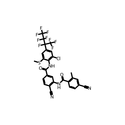 CSc1cc(C(F)(C(F)(F)F)C(F)(F)C(F)(F)F)cc(Cl)c1NC(=O)c1ccc(C#N)c(NC(=O)c2ccc(C#N)cc2C)c1